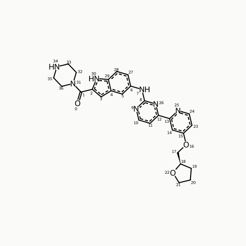 O=C(c1cc2cc(Nc3nccc(-c4cc(OC[C@H]5CCCO5)ccn4)n3)ccc2[nH]1)N1CCNCC1